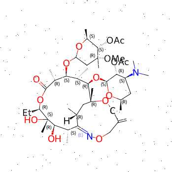 C=C1CO/N=C2\[C@H](C)C[C@@](C)(OC1)[C@H](O[C@@H]1O[C@H](C)C[C@H](N(C)C)[C@H]1OC(C)=O)[C@@H](C)[C@H](OC1C[C@@](C)(OC)[C@@H](OC(C)=O)[C@H](C)O1)[C@@H](C)C(=O)O[C@H](CC)[C@@](C)(O)[C@H](O)[C@H]2C